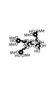 COc1cc(/C=C/C(=O)OC2OC(COC3OC(CO)C(O)C(O)C3OC(=O)/C=C/c3cc(OC)c(O)c(OC)c3)C(O)C(O)C2OC(=O)/C=C/c2cc(OC)c(O)c(OC)c2)cc(OC)c1O